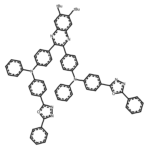 CC(C)(C)c1cc2nc(-c3ccc(N(c4ccccc4)c4ccc(-c5nnc(-c6ccccc6)o5)cc4)cc3)c(-c3ccc(N(c4ccccc4)c4ccc(-c5nnc(-c6ccccc6)o5)cc4)cc3)nc2cc1C(C)(C)C